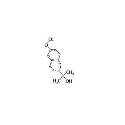 CCOc1ccc2cc(C(C)(C)O)ccc2c1